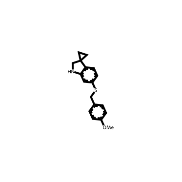 COc1ccc(CSc2ccc3c(c2)NCC32CC2)cc1